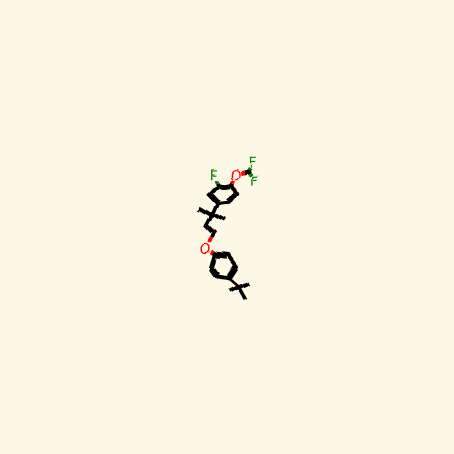 CC(C)(C)c1ccc(OCCC(C)(C)c2ccc(OC(F)F)c(F)c2)cc1